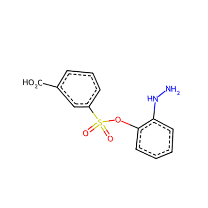 NNc1ccccc1OS(=O)(=O)c1cccc(C(=O)O)c1